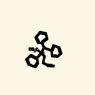 CSCC[C@](C(=O)O)(c1ccccc1)N(c1ccccc1)c1ccccc1